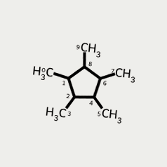 CC1C(C)C(C)C(C)C1C